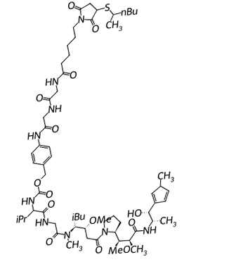 CCCCC(C)SC1CC(=O)N(CCCCCC(=O)NCC(=O)NCC(=O)Nc2ccc(COC(=O)NC(C(=O)NCC(=O)N(C)[C@@H]([C@@H](C)CC)[C@@H](CC(=O)N3CCC[C@H]3[C@H](OC)[C@H](C)C(=O)N[C@@H](C)[C@H](O)C3=CC(C)C=C3)OC)C(C)C)cc2)C1=O